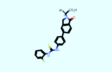 CC(C)[C@@H](C(=O)O)N1Cc2cc(-c3ccc(NC(=S)Nc4ccccc4F)cc3)ccc2C1=O